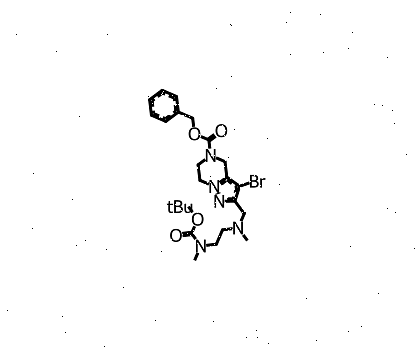 CN(CCN(C)C(=O)OC(C)(C)C)Cc1nn2c(c1Br)CN(C(=O)OCc1ccccc1)CC2